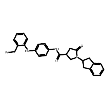 CC(C)Cc1ccccc1Nc1ccc(NC(=O)C2CC(=O)N(C3Cc4ccccc4C3)C2)cc1